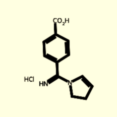 Cl.N=C(c1ccc(C(=O)O)cc1)N1C=CCC1